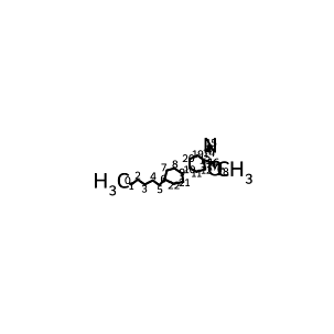 CCCCCCC1CCC([C@H]2CC[C@](C#N)(COC)CC2)CC1